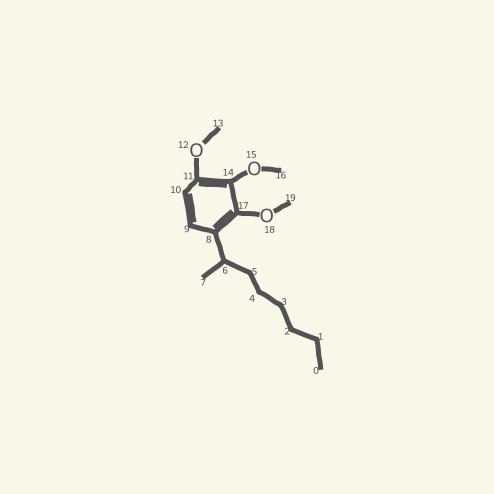 CCCCCCC(C)c1ccc(OC)c(OC)c1OC